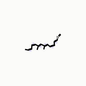 C=N/C=C/C=C\C=C(C)\C=C(C)\C=C/C=C\C